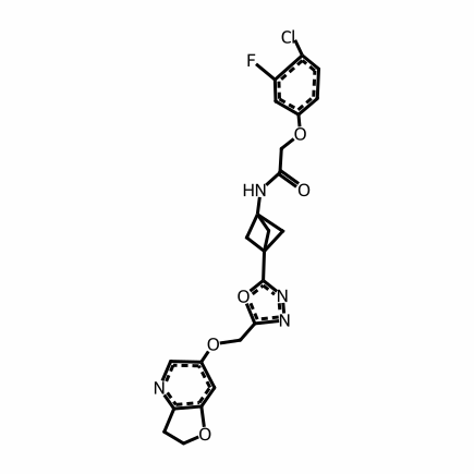 O=C(COc1ccc(Cl)c(F)c1)NC12CC(c3nnc(COc4cnc5c(c4)OCC5)o3)(C1)C2